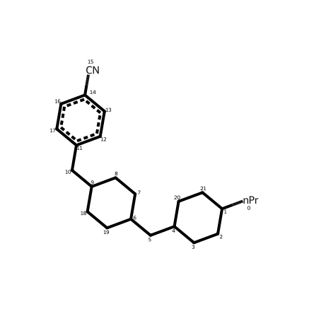 CCCC1CCC(CC2CCC(Cc3ccc(C#N)cc3)CC2)CC1